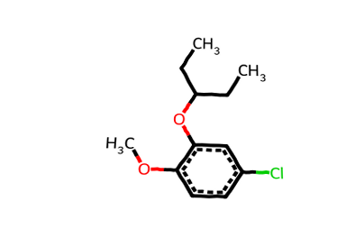 CCC(CC)Oc1cc(Cl)ccc1OC